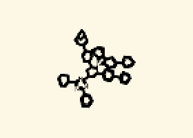 C1=CCCC(c2nc(-c3ccccc3)nc(C3C=C(c4ccc(-c5ccccc5)cc4)C(n4c5ccccc5c5cc(-c6ccccc6)ccc54)=C(C4C=CC(C5=CC6CC(C=C5)C6)=CC4)C3)n2)=C1